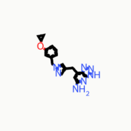 Nc1cc(Cc2cnn(Cc3cccc(OC4CC4)c3)c2)c2nn[nH]c2n1